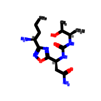 CSCC[C@H](N)c1noc([C@H](CC(N)=O)NC(=O)N[C@H](C(=O)O)C(C)O)n1